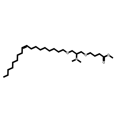 CCCCCCCC/C=C\CCCCCCCCOCC(COCCCC(=O)OC)N(C)C